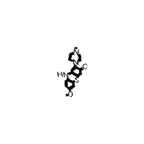 COc1ccc2c(c1)SC1=C(C=C(N3CCN(C)CC3)C(=O)C1)N2